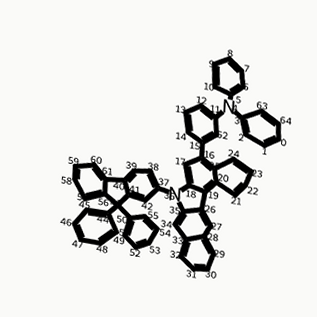 c1ccc(N(c2ccccc2)c2cccc(-c3cc4c(c5ccccc35)c3cc5ccccc5cc3n4-c3ccc4c(c3)C(c3ccccc3)(c3ccccc3)c3ccccc3-4)c2)cc1